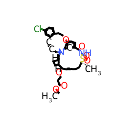 CCOC(=O)CCO[C@H]1/C=C/CC[C@@H](CC)S(=O)(=O)NC(=O)c2ccc3c(c2)N(CCCCc2cc(Cl)ccc2CCO3)C[C@@H]2CC[C@H]21